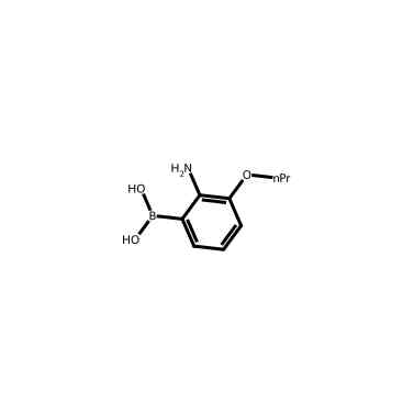 CCCOc1cccc(B(O)O)c1N